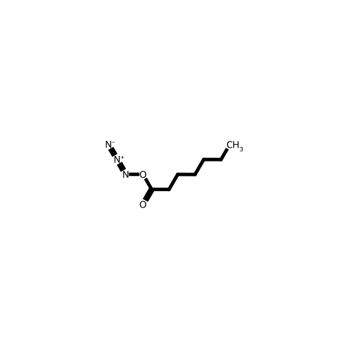 CCCCCCC(=O)ON=[N+]=[N-]